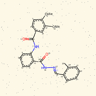 COc1ccc(C(=O)Nc2ccccc2C(=O)N/N=C/c2ccccc2C)cc1OC